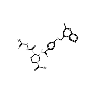 Cc1cc(COc2ccc(C(=O)N[C@@H]3CN(C(=O)C(C)(C)C)CC[C@@H]3C(=O)NOC(=O)C(F)(F)F)cc2)c2ccccc2n1